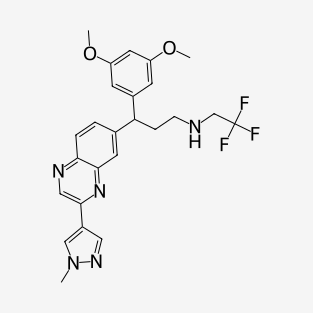 COc1cc(OC)cc(C(CCNCC(F)(F)F)c2ccc3ncc(-c4cnn(C)c4)nc3c2)c1